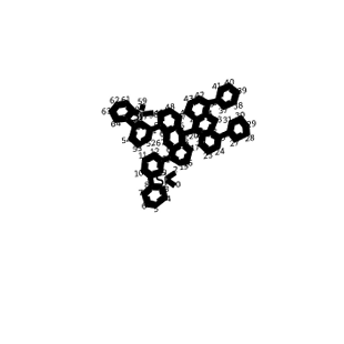 C[Si]1(C)c2ccccc2-c2cccc(-c3cccc4c(-c5c6cccc(-c7ccccc7)c6cc6c(-c7ccccc7)cccc56)c5cccc(-c6cccc7c6[Si](C)(C)c6ccccc6-7)c5cc34)c21